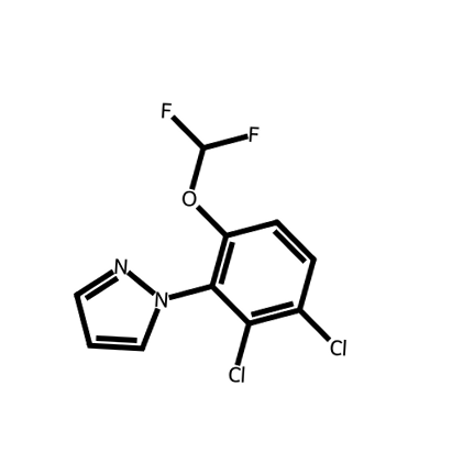 FC(F)Oc1ccc(Cl)c(Cl)c1-n1cccn1